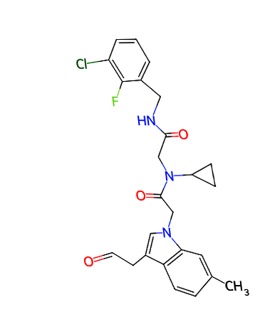 Cc1ccc2c(CC=O)cn(CC(=O)N(CC(=O)NCc3cccc(Cl)c3F)C3CC3)c2c1